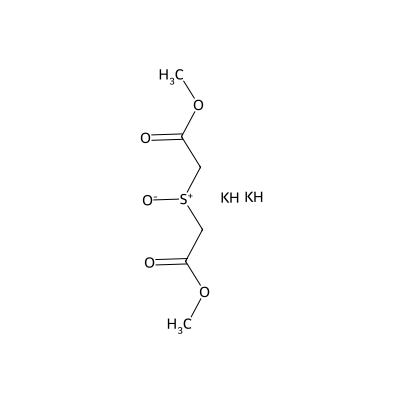 COC(=O)C[S+]([O-])CC(=O)OC.[KH].[KH]